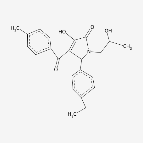 CCc1ccc(C2C(C(=O)c3ccc(C)cc3)=C(O)C(=O)N2CC(C)O)cc1